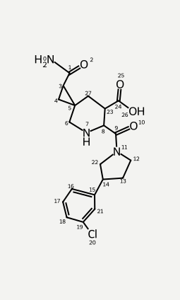 NC(=O)C1CC12CNC(C(=O)N1CCC(c3cccc(Cl)c3)C1)C(C(=O)O)C2